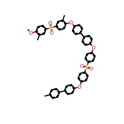 COc1ccc(S(=O)(=O)c2ccc(Oc3ccc(-c4ccc(Oc5ccc(S(=O)(=O)c6ccc(Oc7ccc(-c8ccc(C)cc8)cc7)cc6)cc5)cc4)cc3)c(C)c2)cc1C